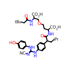 CC(C)CC(C(=O)NC(CCOCC(NC(=O)CC(C)(C)C)C(=O)O)C(=O)O)c1ccc(NC(=NC#N)Nc2ccc(O)cc2)cc1